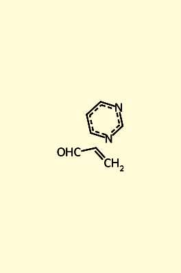 C=CC=O.c1cncnc1